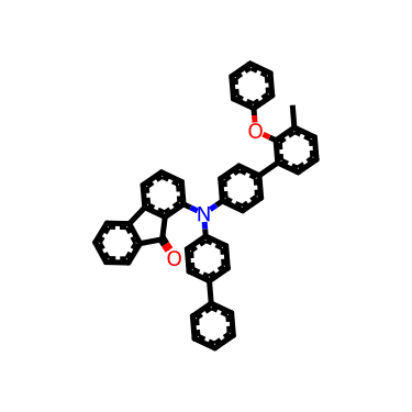 Cc1cccc(-c2ccc(N(c3ccc(-c4ccccc4)cc3)c3cccc4c3C(=O)c3ccccc3-4)cc2)c1Oc1ccccc1